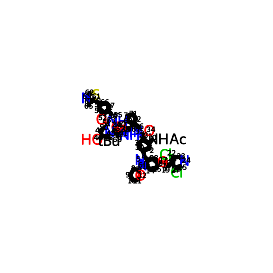 CC(=O)Nc1cc(-c2nn(C3CCCCO3)c3ccc(O[C@H](C)c4c(Cl)cncc4Cl)cc23)ccc1C(=O)NCC1(CC(=O)N[C@H](C(=O)N2C[C@H](O)C[C@H]2C(=O)N[C@@H](C)c2ccc(-c3scnc3C)cc2)C(C)(C)C)CCCC1